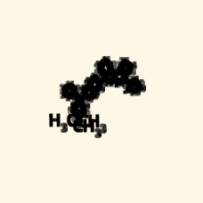 CC(C)(C)c1ccc(N(c2ccccc2)c2ccc3cc(-c4cc5cc(-c6ccccc6)c6ccccc6c5c5ccccc45)ccc3c2)cc1